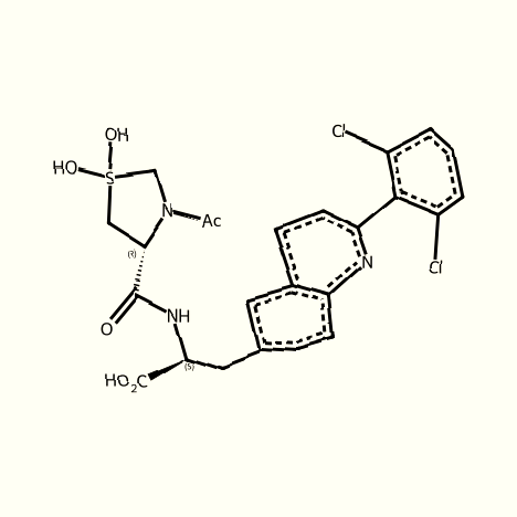 CC(=O)N1CS(O)(O)C[C@H]1C(=O)N[C@@H](Cc1ccc2nc(-c3c(Cl)cccc3Cl)ccc2c1)C(=O)O